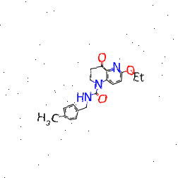 CCOc1ccc2c(n1)C(=O)CCN2C(=O)NCc1ccc(C)cc1